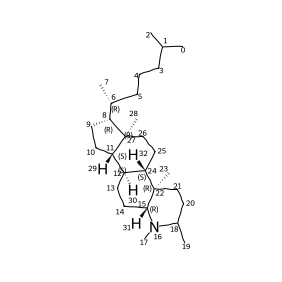 CC(C)CCC[C@@H](C)[C@H]1CC[C@H]2[C@@H]3CC[C@H]4N(C)C(C)CC[C@]4(C)[C@H]3CC[C@]12C